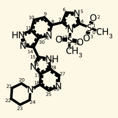 CS(=O)(=O)c1ncc(-c2ccc3[nH]nc(-c4nc5c(N6CCCCC6)cncc5[nH]4)c3n2)n1S(C)(=O)=O